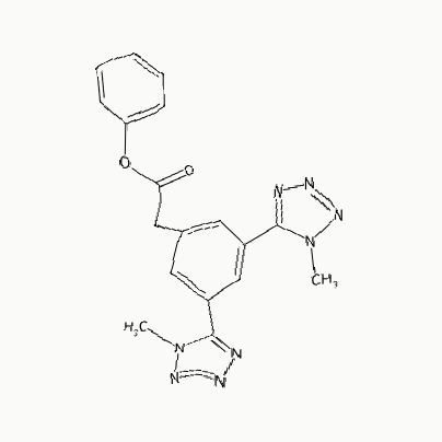 Cn1nnnc1-c1cc(CC(=O)Oc2ccccc2)cc(-c2nnnn2C)c1